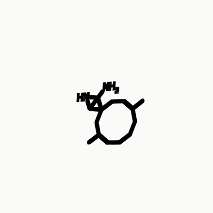 CC1CCCCC(C)CC2(CC1)C1NC12N